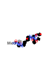 COC(=O)N[C@H](C(=O)N1CCC[C@H]1c1nc2ccc3cc(-c4ccc5c(ccc6nc([C@@H]7C[C@H](COCC8CCCC8)CN7C(=O)[C@H](NC(=O)C7CCC7)c7ccccc7)[nH]c65)c4)ccc3c2[nH]1)C(C)C